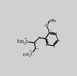 CCCCOc1ccccc1CC(CC(=O)OCC)C(=O)OCC